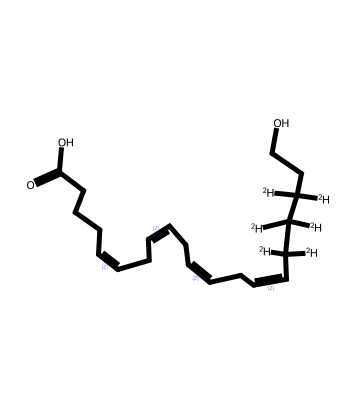 [2H]C([2H])(/C=C\C/C=C\C/C=C\C/C=C\CCCC(=O)O)C([2H])([2H])C([2H])([2H])CCO